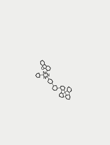 c1ccc(-c2nc(-c3ccc(-c4cccc(-c5cccc6c5-c5ccccc5C65c6ccccc6-c6ccccc65)c4)cc3)nc(-c3cccc4c3oc3ccccc34)n2)cc1